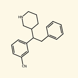 N#Cc1cccc(C(Cc2ccccc2)C2CCCNC2)c1